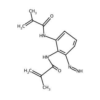 C=C(C)C(=O)Nc1cccc(N=N)c1NC(=O)C(=C)C